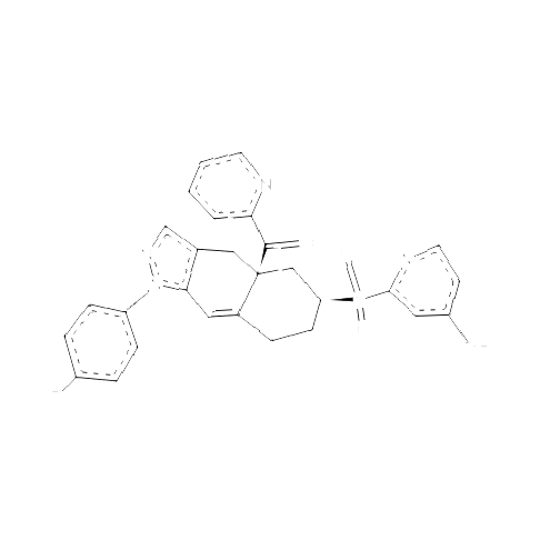 O=C(c1ccccn1)[C@]12Cc3cnn(-c4ccc(F)cc4)c3C=C1CC[C@H](S(=O)(=O)c1cc(C(F)(F)F)ccn1)C2